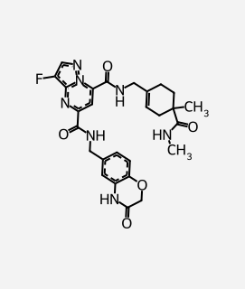 CNC(=O)C1(C)CC=C(CNC(=O)c2cc(C(=O)NCc3ccc4c(c3)NC(=O)CO4)nc3c(F)cnn23)CC1